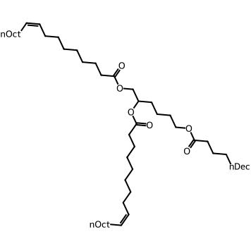 CCCCCCCC/C=C\CCCCCCCC(=O)OCC(CCCCOC(=O)CCCCCCCCCCCCC)OC(=O)CCCCCCC/C=C\CCCCCCCC